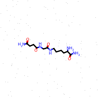 NC(=O)CCC(=O)NCC(=O)NCCCCC(N)C(N)=O